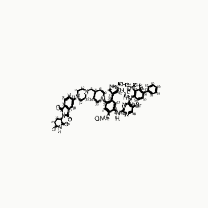 COc1cc(N2CCC(CN3CCN(c4ccc5c(c4)C(=O)N(C4CCC(=O)NC4=O)C5=O)CC3)CC2)c(-c2cnn(C)c2)cc1Nc1ncc(Br)c(Nc2ccc(-c3ccccc3)c(F)c2P(C)(C)=O)n1